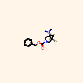 CN(C)[C@@]12C[C@@H]1CN(C(=O)OCc1ccccc1)C2